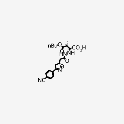 CCCCOC(=O)[C@H](C)[C@H](NNC(=O)CC1CC(c2ccc(C#N)cc2)=NO1)C(=O)O